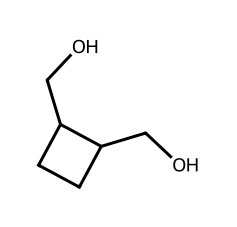 OCC1CCC1CO